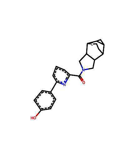 O=C(c1cccc(-c2ccc(O)cc2)n1)N1CC2C3CCCC(C4CC34)C2C1